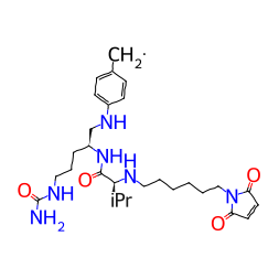 [CH2]c1ccc(NC[C@H](CCCNC(N)=O)NC(=O)[C@@H](NCCCCCCN2C(=O)C=CC2=O)C(C)C)cc1